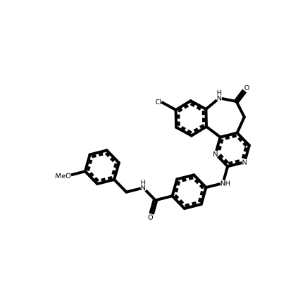 COc1cccc(CNC(=O)c2ccc(Nc3ncc4c(n3)-c3ccc(Cl)cc3NC(=O)C4)cc2)c1